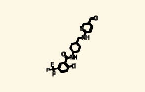 O=Cc1ccc(NCC2CCC(NC(=O)c3cc(C(F)(F)F)ccc3Cl)CC2)nc1